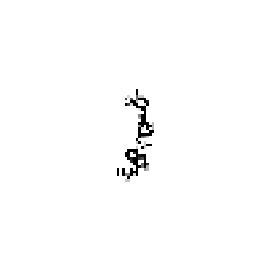 Cn1ccc(COc2cc(CNc3cccc4c(N)nccc34)ccn2)cc1=O